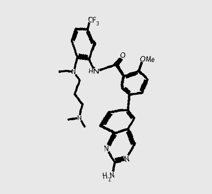 COc1ccc(-c2ccc3nc(N)ncc3c2)cc1C(=O)Nc1cc(C(F)(F)F)ccc1N(C)CCCN(C)C